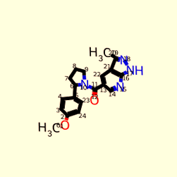 COc1ccc(C2CCCN2C(=O)c2cnc3[nH]nc(C)c3c2)cc1